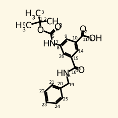 CC(C)(C)OC(=O)Nc1cc(C(=O)O)cc(C(=O)NCc2ccccc2)c1